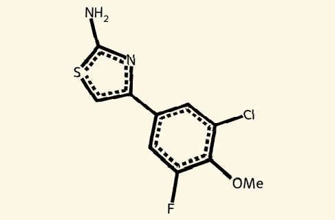 COc1c(F)cc(-c2csc(N)n2)cc1Cl